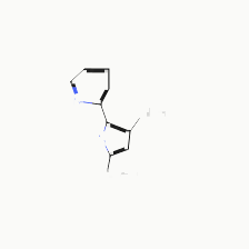 CCCCCc1cc(CCCCC)c(-c2ccccn2)[nH]1